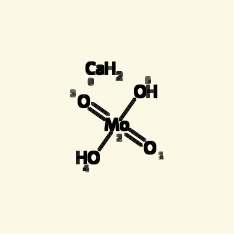 [CaH2].[O]=[Mo](=[O])([OH])[OH]